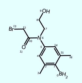 Bc1c(C)cc(N(CCO)C(=O)CBr)cc1C